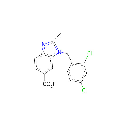 Cc1nc2ccc(C(=O)O)cc2n1Cc1ccc(Cl)cc1Cl